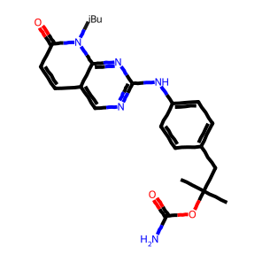 CCC(C)n1c(=O)ccc2cnc(Nc3ccc(CC(C)(C)OC(N)=O)cc3)nc21